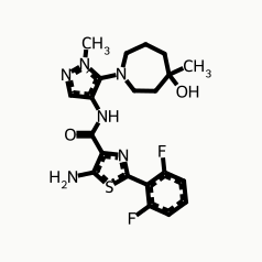 Cn1ncc(NC(=O)c2nc(-c3c(F)cccc3F)sc2N)c1N1CCCC(C)(O)CC1